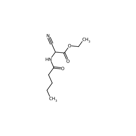 CCCCC(=O)NC(C#N)C(=O)OCC